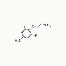 Bc1cc(F)c(OCCC)c(F)c1